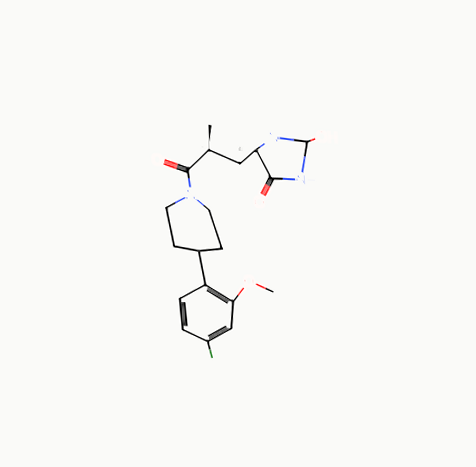 COc1cc(Cl)ccc1C1CCN(C(=O)[C@@H](C)C[C@@]2(C)NC(O)NC2=O)CC1